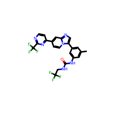 Cc1cc(NC(=O)NCC(F)(F)F)cc(-c2cnc3cc(-c4ccnc(C(F)(F)F)n4)ccn23)c1